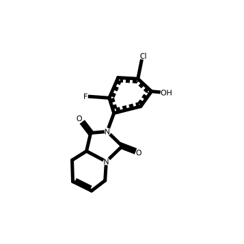 O=C1C2CC=CCN2C(=O)N1c1cc(O)c(Cl)cc1F